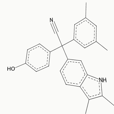 Cc1cc(C)cc(C(C#N)(c2ccc(O)cc2)c2ccc3c(C)c(C)[nH]c3c2)c1